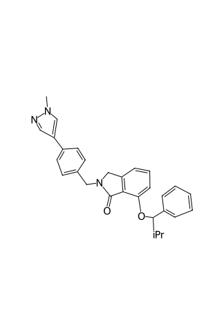 CC(C)C(Oc1cccc2c1C(=O)N(Cc1ccc(-c3cnn(C)c3)cc1)C2)c1ccccc1